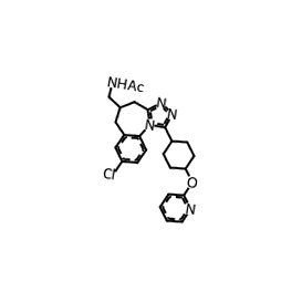 CC(=O)NCC1Cc2cc(Cl)ccc2-n2c(nnc2C2CCC(Oc3ccccn3)CC2)C1